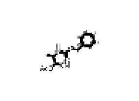 CC(=O)OC(C#N)C(C)NC(=O)OCc1ccccc1